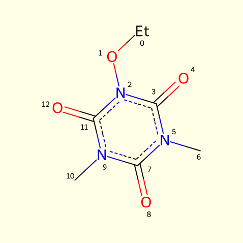 CCOn1c(=O)n(C)c(=O)n(C)c1=O